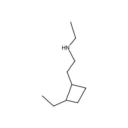 CCNCCC1CCC1CC